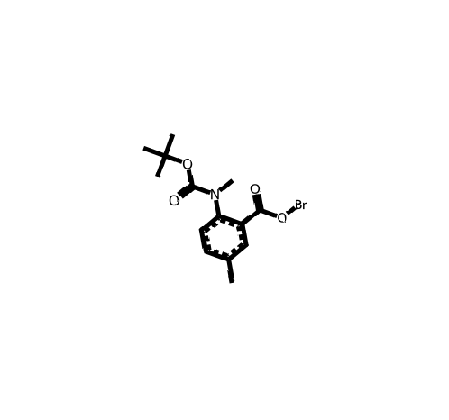 Cc1ccc(N(C)C(=O)OC(C)(C)C)c(C(=O)OBr)c1